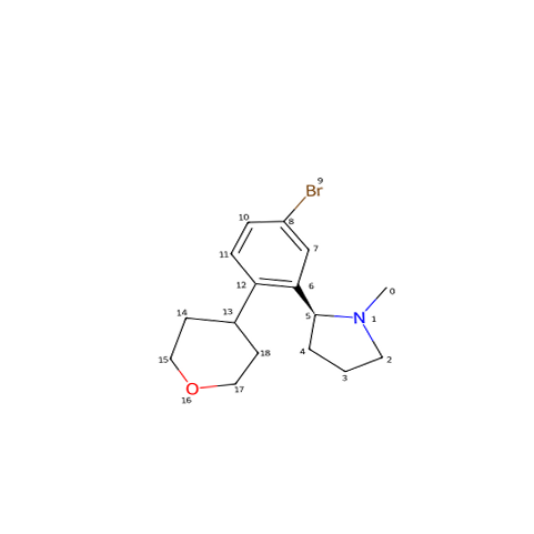 CN1CCC[C@H]1c1cc(Br)ccc1C1CCOCC1